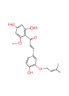 COc1cc(O)cc(O)c1C(=O)C=Cc1ccc(O)c(OCC=C(C)C)c1